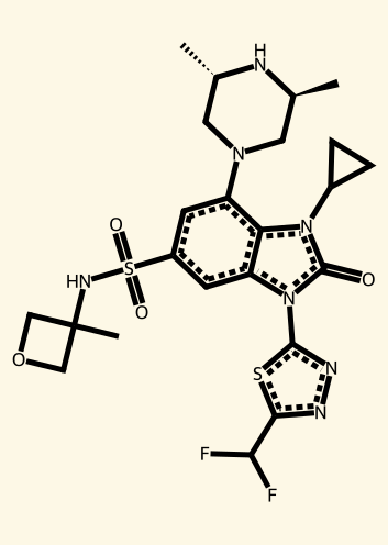 C[C@H]1CN(c2cc(S(=O)(=O)NC3(C)COC3)cc3c2n(C2CC2)c(=O)n3-c2nnc(C(F)F)s2)C[C@H](C)N1